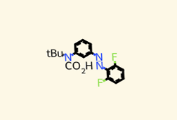 CC(C)(C)N(C(=O)O)c1cccc(N=Nc2c(F)cccc2F)c1